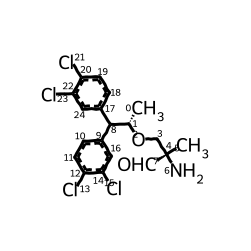 C[C@H](OC[C@](C)(N)C=O)C(c1ccc(Cl)c(Cl)c1)c1ccc(Cl)c(Cl)c1